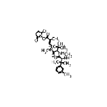 CNC(C(=O)NC(C(=O)N(C)C/C=C(\C)C(=O)ON1C(=O)CCC1=O)C(C)(C)C)C(C)(C)c1cccc(C)c1